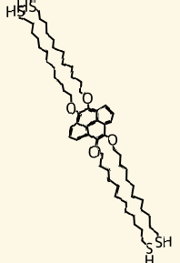 SCCCCCCCCCCCCOc1c(OCCCCCCCCCCCCS)c2cccc3c(OCCCCCCCCCCCCS)c(OCCCCCCCCCCCCS)c4cccc1c4c23